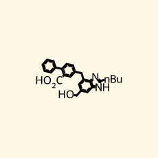 CCCCc1nc2c(Cc3ccc(-c4ccccc4)c(C(=O)O)c3)cc(CO)cc2[nH]1